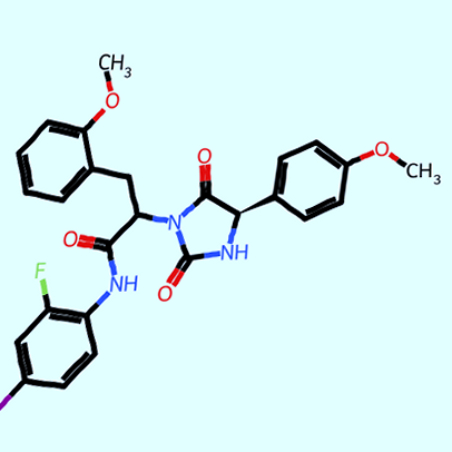 COc1ccc([C@H]2NC(=O)N(C(Cc3ccccc3OC)C(=O)Nc3ccc(I)cc3F)C2=O)cc1